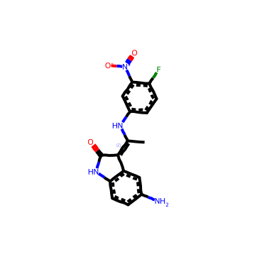 C/C(Nc1ccc(F)c([N+](=O)[O-])c1)=C1/C(=O)Nc2ccc(N)cc21